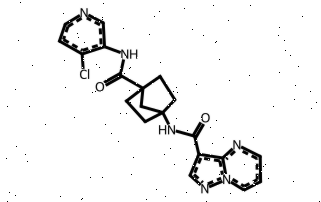 O=C(NC12CCC(C(=O)Nc3cnccc3Cl)(CC1)C2)c1cnn2cccnc12